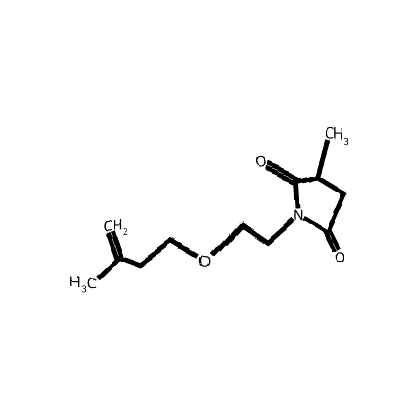 C=C(C)CCOCCN1C(=O)CC(C)C1=O